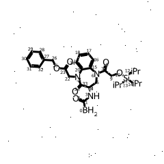 BC(=O)N[C@H]1CN(C(=O)CO[Si](C(C)C)(C(C)C)C(C)C)c2ccccc2N(CC(=O)OCc2ccccc2)C1=O